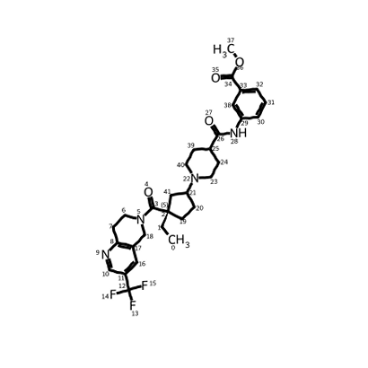 CC[C@]1(C(=O)N2CCc3ncc(C(F)(F)F)cc3C2)CCC(N2CCC(C(=O)Nc3cccc(C(=O)OC)c3)CC2)C1